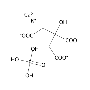 O=C([O-])CC(O)(CC(=O)[O-])C(=O)[O-].O=P(O)(O)O.[Ca+2].[K+]